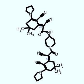 CC1(C)CC(N2CCCC2)=C(C#N)/C(=C(\C#N)C(=O)NC2CCN(C(=O)/C(C#N)=C3\CC(C)(C)CC(N4CCCC4)=C3C#N)CC2)C1